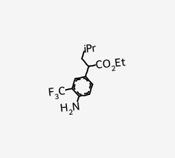 CCOC(=O)C(CC(C)C)c1ccc(N)c(C(F)(F)F)c1